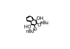 CCCCOc1c(OCCCC)c(O)c2ccccc2c1O